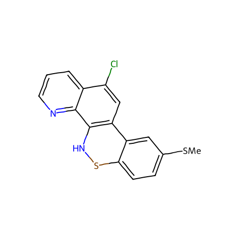 CSc1ccc2c(c1)-c1cc(Cl)c3cccnc3c1NS2